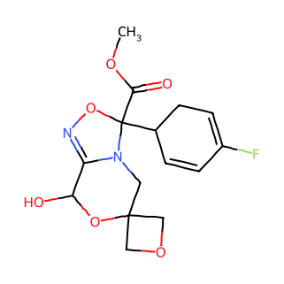 COC(=O)C1(C2C=CC(F)=CC2)ON=C2C(O)OC3(COC3)CN21